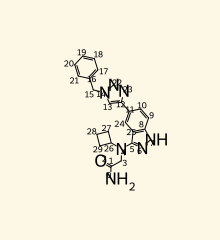 NC(=O)CN(c1n[nH]c2ccc(-c3cn(Cc4ccccc4)nn3)cc12)C1CCC1